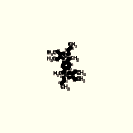 C=[C](c1ccc([C](=C)[Sn]([CH2]CCC)([CH2]CCC)[CH2]CCC)cc1)[Sn]([CH2]CCC)([CH2]CCC)[CH2]CCC